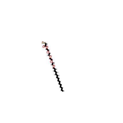 CCCCCCCCCCCCCCCCOCCOCCOCCOCCOC(=O)CBr